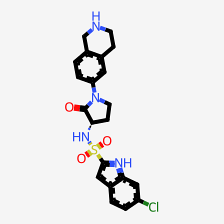 O=C1[C@@H](NS(=O)(=O)c2cc3ccc(Cl)cc3[nH]2)CCN1c1ccc2c(c1)CCNC2